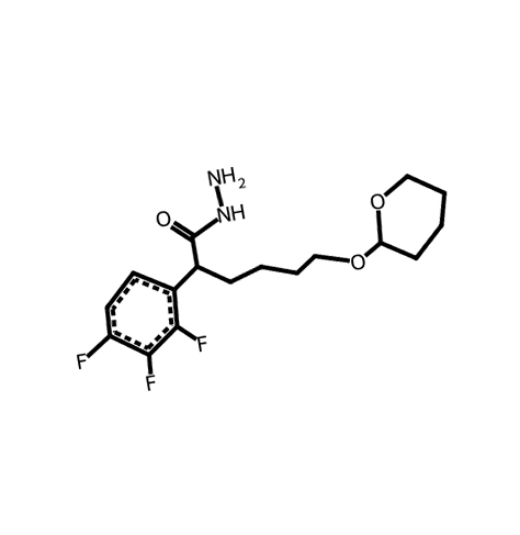 NNC(=O)C(CCCCOC1CCCCO1)c1ccc(F)c(F)c1F